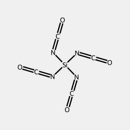 O=C=N[Si](N=C=O)(N=C=O)N=C=O